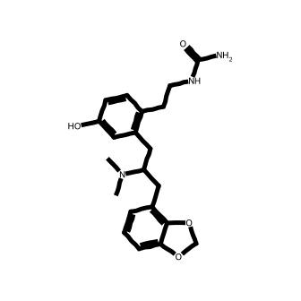 CN(C)C(Cc1cc(O)ccc1CCNC(N)=O)Cc1cccc2c1OCO2